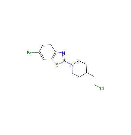 ClCCC1CCN(c2nc3ccc(Br)cc3s2)CC1